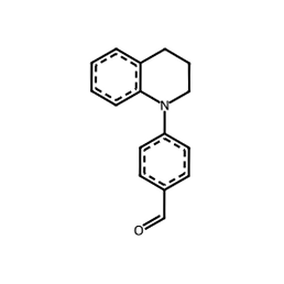 O=Cc1ccc(N2CCCc3ccccc32)cc1